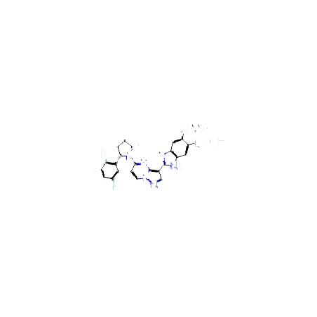 COc1cc2nc(-c3cnn4ccc(N5CCC[C@@H]5c5cc(F)ccc5F)nc34)[nH]c2cc1C(=O)O